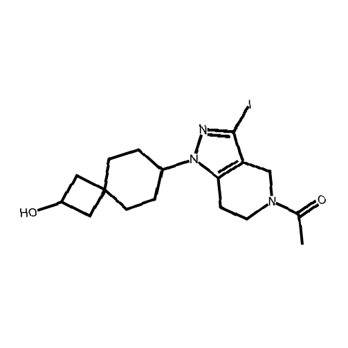 CC(=O)N1CCc2c(c(I)nn2C2CCC3(CC2)CC(O)C3)C1